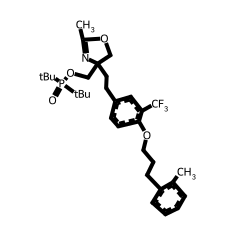 CC1=NC(CCc2ccc(OCCCc3ccccc3C)c(C(F)(F)F)c2)(COP(=O)(C(C)(C)C)C(C)(C)C)CO1